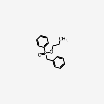 CCCOP(=O)(Cc1cc[c]cc1)c1ccccc1